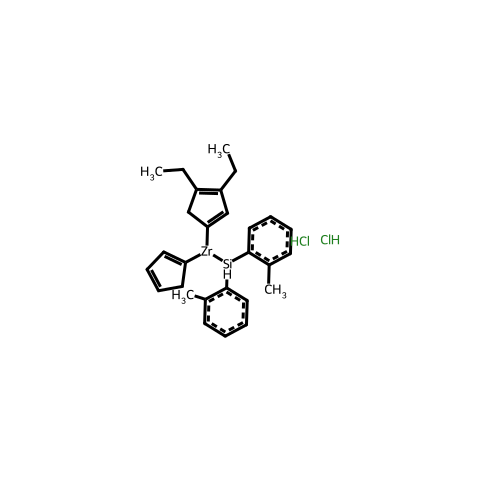 CCC1=C(CC)C[C]([Zr]([C]2=CC=CC2)[SiH](c2ccccc2C)c2ccccc2C)=C1.Cl.Cl